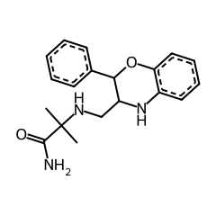 CC(C)(NCC1Nc2ccccc2OC1c1ccccc1)C(N)=O